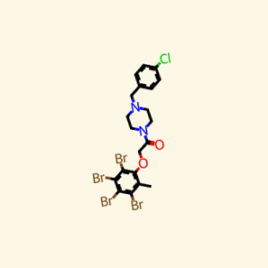 Cc1c(Br)c(Br)c(Br)c(Br)c1OCC(=O)N1CCN(Cc2ccc(Cl)cc2)CC1